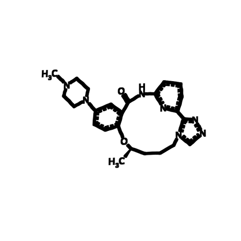 C[C@@H]1CCCn2cnnc2-c2cccc(n2)NC(=O)c2cc(N3CCN(C)CC3)ccc2O1